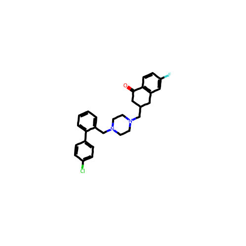 O=C1CC(CN2CCN(Cc3ccccc3-c3ccc(Cl)cc3)CC2)Cc2cc(F)ccc21